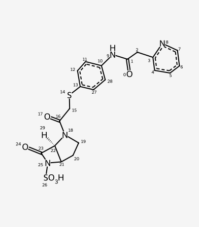 O=C(Cc1ccccn1)Nc1ccc(SCC(=O)N2CCC3[C@H]2C(=O)N3S(=O)(=O)O)cc1